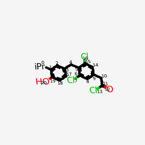 CC(C)c1cc(Cc2c(Cl)cc(CC(=O)Cl)cc2Cl)ccc1O